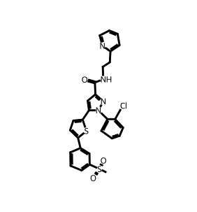 CS(=O)(=O)c1cccc(-c2ccc(-c3cc(C(=O)NCCc4ccccn4)nn3-c3ccccc3Cl)s2)c1